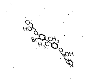 CC(C)(c1ccc(OC[C@H](O)Cn2ccnc2)cc1)c1ccc(OC[C@H](O)CCl)c(Br)c1